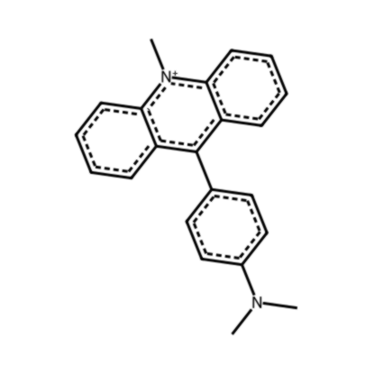 CN(C)c1ccc(-c2c3ccccc3[n+](C)c3ccccc23)cc1